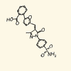 CC1=NN(c2ccc(S(N)(=O)=O)cc2)C(=O)/C1=C/c1ccc(-c2ccccc2C(=O)O)o1